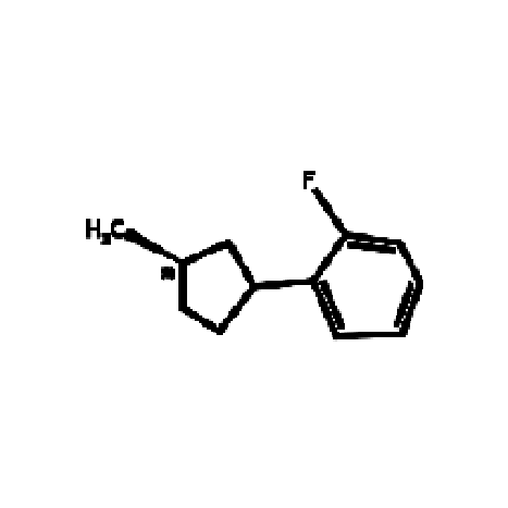 C[C@@H]1CCC(c2ccccc2F)C1